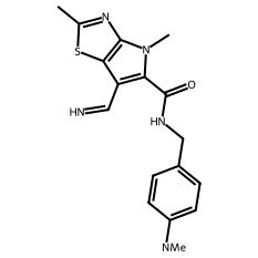 CNc1ccc(CNC(=O)c2c(C=N)c3sc(C)nc3n2C)cc1